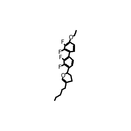 CCCCCC1=COC(c2ccc(-c3ccc(OCC)c(F)c3F)c(F)c2F)CC1